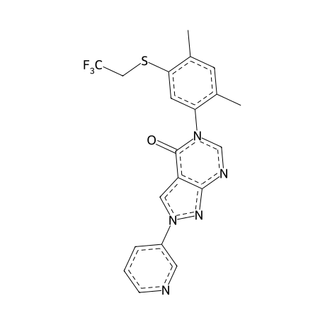 Cc1cc(C)c(-n2cnc3nn(-c4cccnc4)cc3c2=O)cc1SCC(F)(F)F